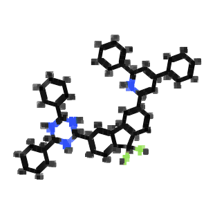 FC1(F)c2ccc(-c3cc(-c4ccccc4)cc(-c4ccccc4)n3)cc2-c2cc(-c3nc(-c4ccccc4)nc(-c4ccccc4)n3)ccc21